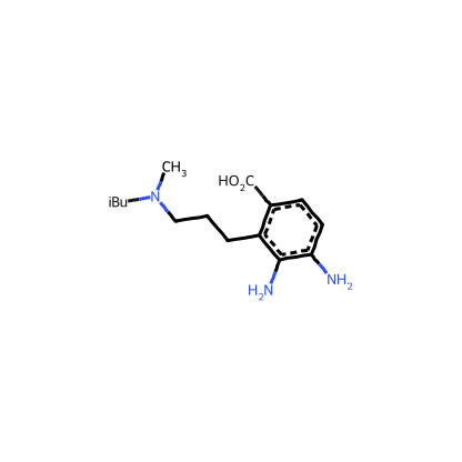 CCC(C)N(C)CCCc1c(C(=O)O)ccc(N)c1N